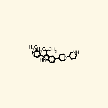 Cc1cc(-c2[nH]c3ccc(C4CCN(C5CCCNC5)CC4)cc3c2C(C)C)ccn1